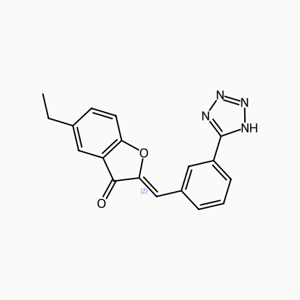 CCc1ccc2c(c1)C(=O)/C(=C/c1cccc(-c3nnn[nH]3)c1)O2